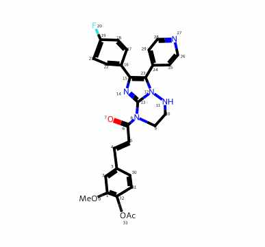 COc1cc(C=CC(=O)N2CCNn3c2nc(-c2ccc(F)cc2)c3-c2ccncc2)ccc1OC(C)=O